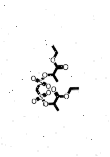 CCOC(=O)C(C)OS(=O)(=O)CS(=O)(=O)OC(C)C(=O)OCC